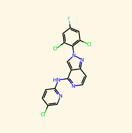 Fc1cc(Cl)c(-n2cc3c(Nc4ccc(Cl)cn4)nccc3n2)c(Cl)c1